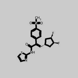 CS(=O)(=O)c1ccc(/C(=C\[C@@H]2C[C@@H](F)[C@@H](F)C2)C(=O)Nc2nccs2)cc1